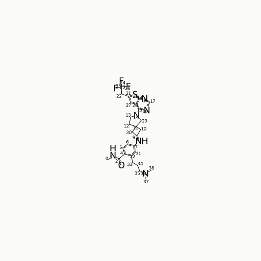 CNC(=O)c1ccc(NC2CC3(CCN(c4ncnc5sc(CC(F)(F)F)cc45)C3)C2)cc1CCCN(C)C